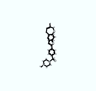 CC1=CCc2cc3cc(-c4ccc(C(=O)N5CCN(C)CC5)cc4)oc3cc2OC1